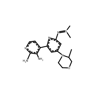 CC1COCCN1c1cc(N=S(C)C)nc(-c2ccnc(N)c2N)c1